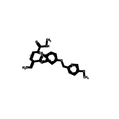 C=C(/C=C\C(=C/C)c1nc2cc(OCc3ccc(OC)cn3)ccc2o1)C(=O)NC